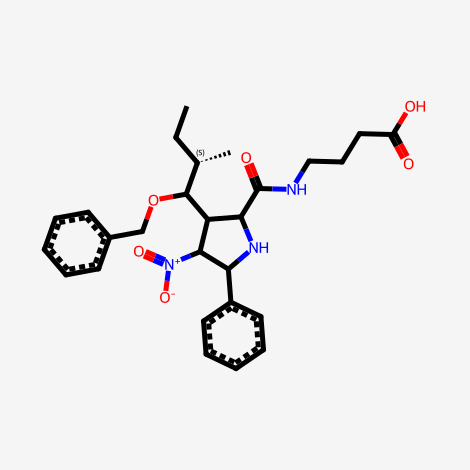 CC[C@H](C)C(OCc1ccccc1)C1C(C(=O)NCCCC(=O)O)NC(c2ccccc2)C1[N+](=O)[O-]